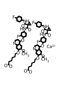 COc1cc2c(Oc3ccc(NC(=O)C4(C(=O)Nc5ccc(F)cc5)CC4)cc3F)ccnc2cc1OCCCCCC(=O)[O-].COc1cc2c(Oc3ccc(NC(=O)C4(C(=O)Nc5ccc(F)cc5)CC4)cc3F)ccnc2cc1OCCCCCC(=O)[O-].[Ca+2]